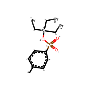 Cc1ccc(S(=O)(=O)O[Si](CC(C)C)(CC(C)C)CC(C)C)cc1